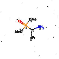 CCCC(N)P(=O)(OC)OC